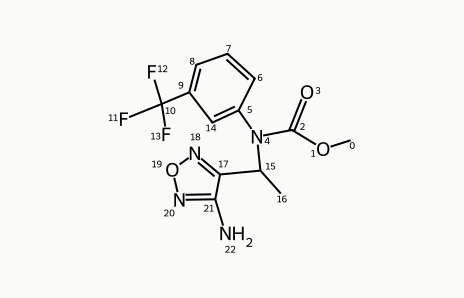 COC(=O)N(c1cccc(C(F)(F)F)c1)C(C)c1nonc1N